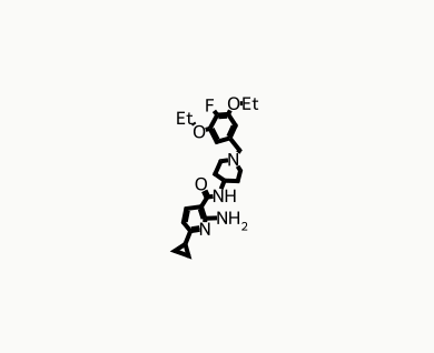 CCOc1cc(CN2CCC(NC(=O)c3ccc(C4CC4)nc3N)CC2)cc(OCC)c1F